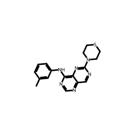 Cc1cccc(Nc2ncnc3cnc(N4CCSCC4)nc23)c1